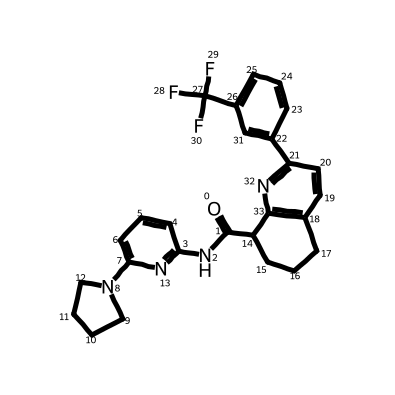 O=C(Nc1cccc(N2CCCC2)n1)C1CCCc2ccc(-c3cccc(C(F)(F)F)c3)nc21